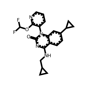 O=c1nc(NCC2CC2)c2ccc(C3CC3)cc2n1-c1cccnc1OC(F)F